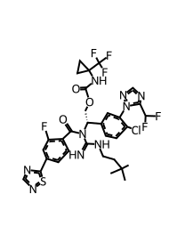 CC(C)(C)CCNC(=N)N(C(=O)c1ccc(-c2ncns2)cc1F)[C@H](COC(=O)NC1(C(F)(F)F)CC1)c1ccc(Cl)c(-n2ncnc2C(F)F)c1